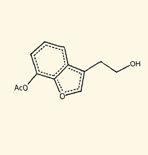 CC(=O)Oc1cccc2c(CCO)coc12